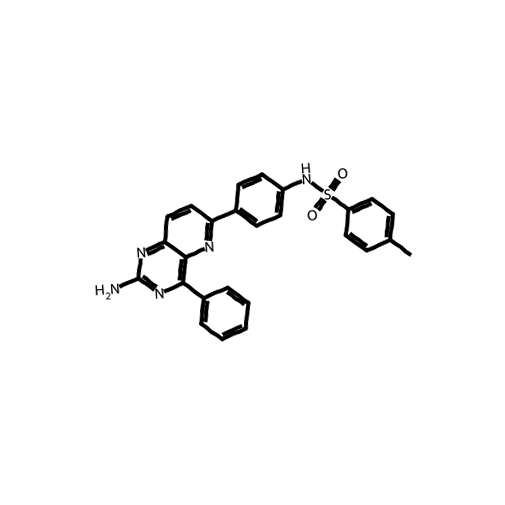 Cc1ccc(S(=O)(=O)Nc2ccc(-c3ccc4nc(N)nc(-c5ccccc5)c4n3)cc2)cc1